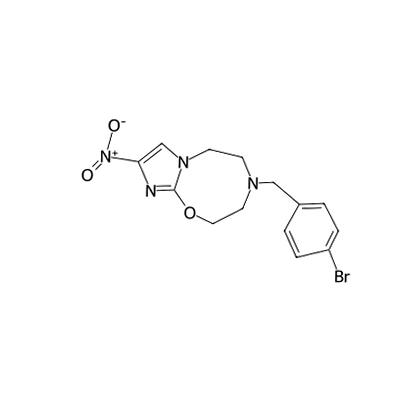 O=[N+]([O-])c1cn2c(n1)OCCN(Cc1ccc(Br)cc1)CC2